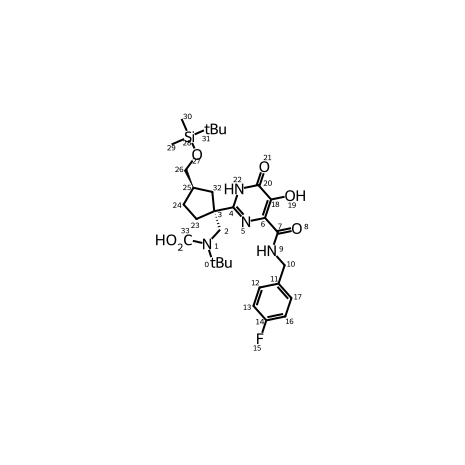 CC(C)(C)N(C[C@]1(c2nc(C(=O)NCc3ccc(F)cc3)c(O)c(=O)[nH]2)CC[C@@H](CO[Si](C)(C)C(C)(C)C)C1)C(=O)O